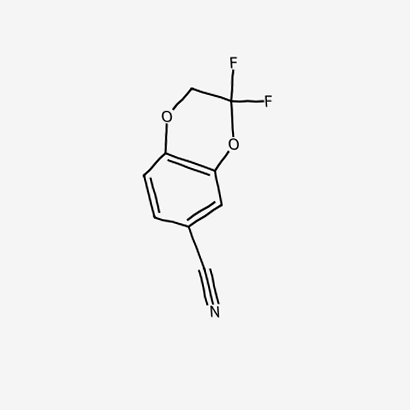 N#Cc1ccc2c(c1)OC(F)(F)CO2